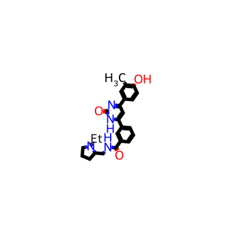 CCN1CCCC1CNC(=O)c1cccc(-c2cc(-c3ccc(O)c(C)c3)nc(=O)[nH]2)c1